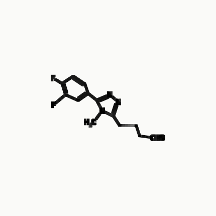 Cn1c(CCCC=O)nnc1-c1ccc(F)c(F)c1